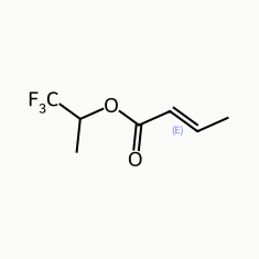 C/C=C/C(=O)OC(C)C(F)(F)F